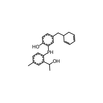 Cc1ccc(Pc2cc(CC3C=CC=CC3)ccc2O)c(C(C)O)c1